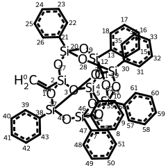 C=C[Si]12O[Si]3(c4ccccc4)O[Si]4(c5ccccc5)O[Si](c5ccccc5)(O1)O[Si]1(c5ccccc5)O[Si](c5ccccc5)(O2)O[Si](c2ccccc2)(O3)O[Si](c2ccccc2)(O4)O1